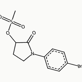 CS(=O)(=O)OC1CCN(c2ccc(Br)cc2)C1=O